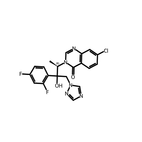 C[C@@H](n1cnc2cc(Cl)ccc2c1=O)C(O)(Cn1cncn1)c1ccc(F)cc1F